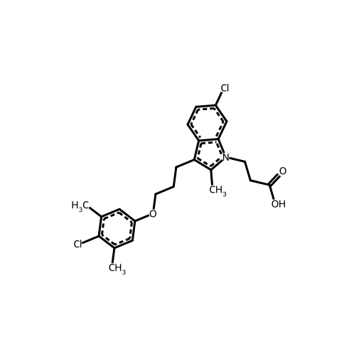 Cc1cc(OCCCc2c(C)n(CCC(=O)O)c3cc(Cl)ccc23)cc(C)c1Cl